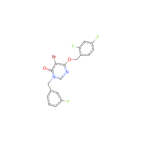 O=c1c(Br)c(OCc2ccc(F)cc2F)ncn1Cc1cccc(F)c1